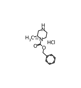 C[C@H]1CNCCN1C(=O)OCc1ccccc1.Cl